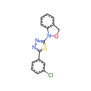 Clc1cccc(-c2nnc(N3OCc4ccccc43)s2)c1